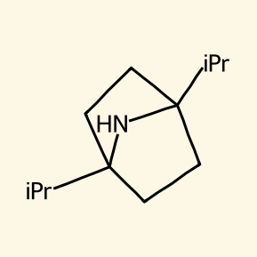 CC(C)C12CCC(C(C)C)(CC1)N2